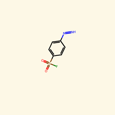 N=Nc1ccc(S(=O)(=O)F)cc1